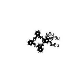 CCCCSCc1cc2c3nc4nc(nc5[nH]c(nc6nc(nc([nH]3)c2c(CSCCCC)c1CSCCCC)-c1ccccc1-6)c1ccccc51)-c1ccccc1-4